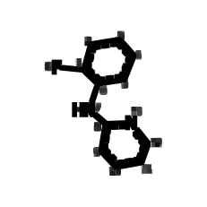 Fc1ccccc1Nc1ccccn1